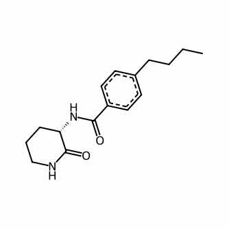 CCCCc1ccc(C(=O)N[C@H]2CCCNC2=O)cc1